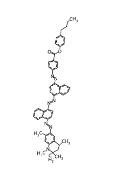 CCCCc1ccc(OC(=O)c2ccc(N=Nc3ccc(N=Nc4ccc(N=Nc5cc6c(cc5C)N(C)C(C)(C)CC6C)c5ccccc45)c4ccccc34)cc2)cc1